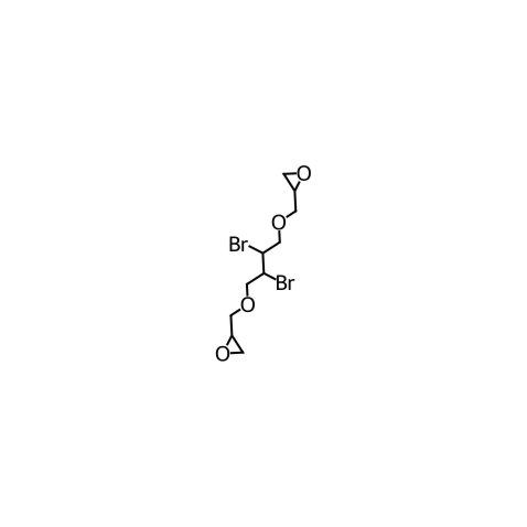 BrC(COCC1CO1)C(Br)COCC1CO1